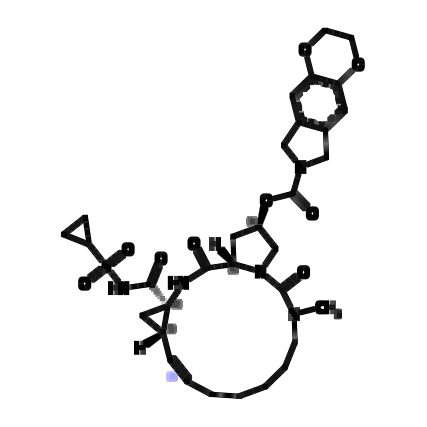 CN1CCCCC/C=C\[C@@H]2C[C@@]2(C(=O)NS(=O)(=O)C2CC2)NC(=O)[C@@H]2C[C@@H](OC(=O)N3Cc4cc5c(cc4C3)OCCO5)CN2C1=O